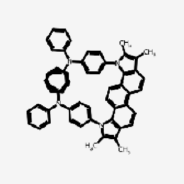 Cc1c(C)n(-c2ccc(N(c3ccccc3)c3ccccc3)cc2)c2c1ccc1c3ccc4c(C)c(C)n(-c5ccc(N(c6ccccc6)c6ccccc6)cc5)c4c3ccc12